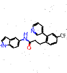 O=C(CCc1ccc(C(F)(F)F)cc1-c1cccnc1)Nc1ccc2[nH]ccc2c1